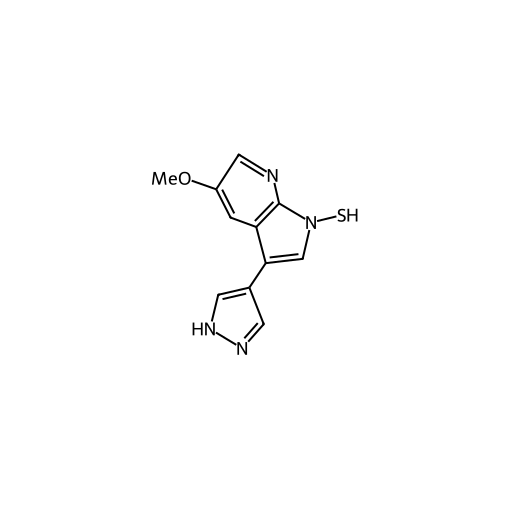 COc1cnc2c(c1)c(-c1cn[nH]c1)cn2S